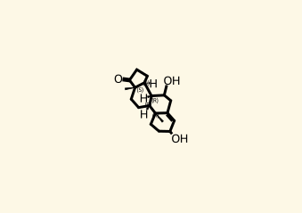 C[C@]12CCC(O)C=C1CC(O)[C@@H]1[C@H]2CC[C@]2(C)C(=O)CC[C@@H]12